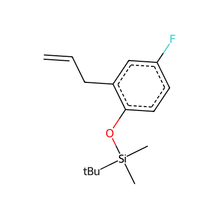 C=CCc1cc(F)ccc1O[Si](C)(C)C(C)(C)C